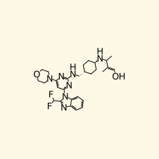 C/C(=C\O)C(C)N[C@H]1CC[C@H](CNc2nc(N3CCOCC3)cc(-n3c(C(F)F)nc4ccccc43)n2)CC1